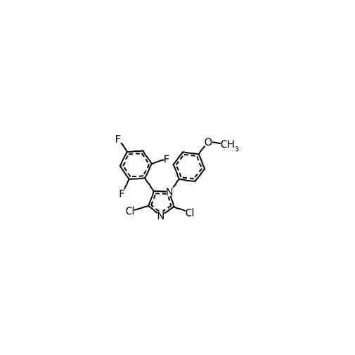 COc1ccc(-n2c(Cl)nc(Cl)c2-c2c(F)cc(F)cc2F)cc1